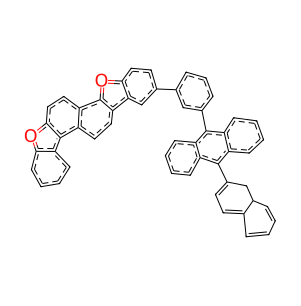 C1=CC2=CC=C(c3c4ccccc4c(-c4cccc(-c5ccc6oc7c(ccc8c7ccc7oc9ccccc9c78)c6c5)c4)c4ccccc34)CC2C=C1